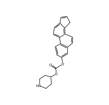 O=C(Oc1ccc2c(ccc3c4c(ccc32)C=CC4)c1)OC1CCNCC1